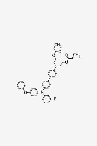 C=CC(=O)OCCC(CCOC(=O)C=C)c1ccc(-c2ccc(N(c3ccc(Oc4ccccc4)cc3)c3cccc(F)c3)cc2)cc1